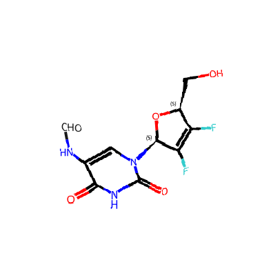 O=CNc1cn([C@H]2O[C@@H](CO)C(F)=C2F)c(=O)[nH]c1=O